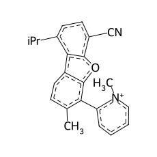 Cc1ccc2c(oc3c(C#N)ccc(C(C)C)c32)c1-c1cccc[n+]1C